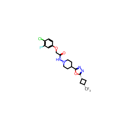 O=C(COc1ccc(Cl)c(F)c1)NN1CCC(c2nnc([C@H]3C[C@@H](C(F)(F)F)C3)o2)CC1